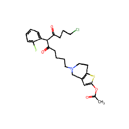 CC(=O)Oc1cc2c(s1)CCN(CCCCC(=O)C(C(=O)CCCCl)c1ccccc1F)C2